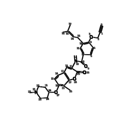 C#CCOc1ccc(C(=O)Nc2cc3ccc(OC4CCN(C)CC4)c(C)c3oc2=O)cc1CC=C(C)C